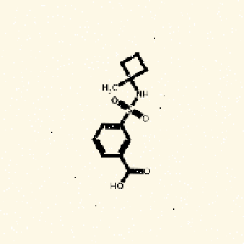 CC1(NS(=O)(=O)c2cccc(C(=O)O)c2)CCC1